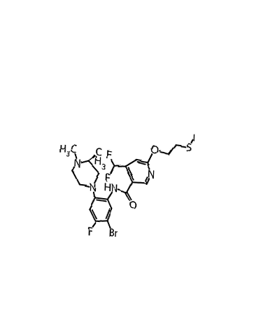 C[C@H]1CN(c2cc(F)c(Br)cc2NC(=O)c2cnc(OCCSI)cc2C(F)F)CCN1C